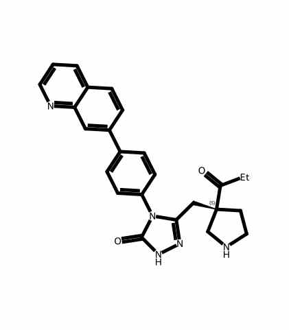 CCC(=O)[C@]1(Cc2n[nH]c(=O)n2-c2ccc(-c3ccc4cccnc4c3)cc2)CCNC1